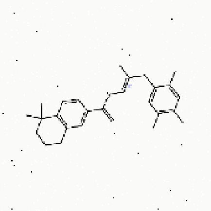 C=C(S/C=C(\C)Cc1cc(C)c(I)cc1C)c1ccc2c(c1)CCCC2(C)C